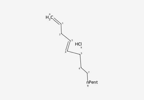 C=CC/C=C/CCCCCCCC.Cl